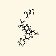 CCNC(=O)CCCN(C)C(=O)c1ccc2c(c1)c1c(n2CCF)CCC(C2CCOCC2)C1